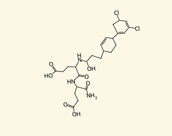 NC(=O)C(CCC(=O)O)NC(=O)C(CCC(=O)O)NC(O)CCC1C=CC(C2=CC(Cl)=CC(Cl)C2)CC1